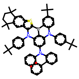 CC(C)(C)c1ccc(N2c3ccc(C(C)(C)C)cc3B3c4sc5cc6c(cc5c4N(c4ccc(C(C)(C)C)cc4)c4cc(N(c5ccccc5)c5ccccc5-c5ccccc5)cc2c43)C(C)(C)CCC6(C)C)cc1